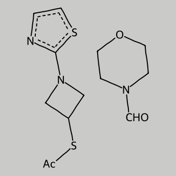 CC(=O)SC1CN(c2nccs2)C1.O=CN1CCOCC1